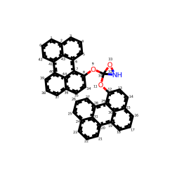 c1cc2cccc3c4c(OC5(Oc6ccc7cccc8c9cccc%10cccc(c6c78)c%109)NO5)ccc5cccc(c(c1)c23)c54